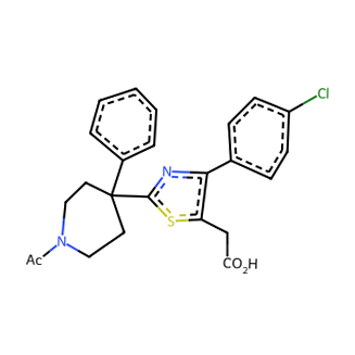 CC(=O)N1CCC(c2ccccc2)(c2nc(-c3ccc(Cl)cc3)c(CC(=O)O)s2)CC1